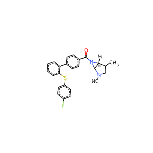 CC1CN(C#N)C2[C@@H]1N2C(=O)c1ccc(-c2ccccc2Sc2ccc(F)cc2)cc1